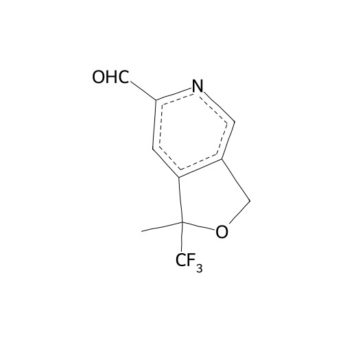 CC1(C(F)(F)F)OCc2cnc(C=O)cc21